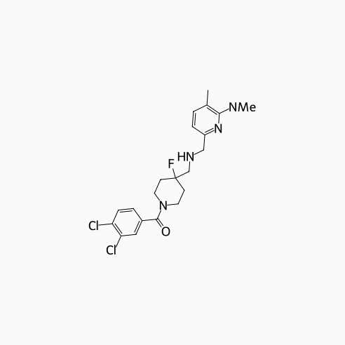 CNc1nc(CNCC2(F)CCN(C(=O)c3ccc(Cl)c(Cl)c3)CC2)ccc1C